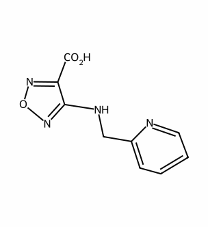 O=C(O)c1nonc1NCc1ccccn1